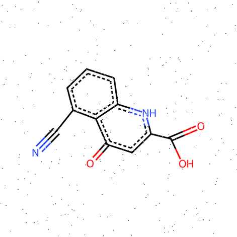 N#Cc1cccc2[nH]c(C(=O)O)cc(=O)c12